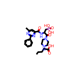 CCCCC(=O)O.Cc1cc(C(=O)NC(CP(=O)(O)O)C(=O)N2CCNCC2)nc(-c2ccccc2)n1